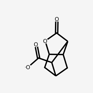 [O]C(=O)C1C2CC3OC(=O)C1C3C2